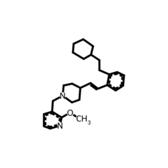 COc1ncccc1CN1CCC(C=Cc2ccccc2CCC2CCCCC2)CC1